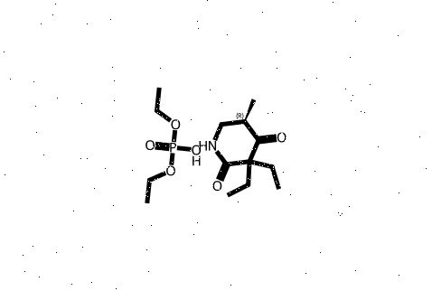 CCC1(CC)C(=O)NC[C@@H](C)C1=O.CCOP(=O)(O)OCC